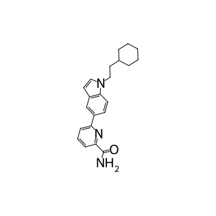 NC(=O)c1cccc(-c2ccc3c(ccn3CCC3CCCCC3)c2)n1